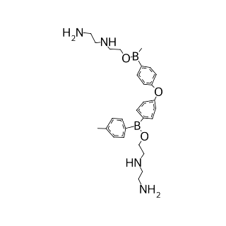 CB(OCCNCCN)c1ccc(Oc2ccc(B(OCCNCCN)c3ccc(C)cc3)cc2)cc1